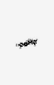 CCN1CCN(c2ccc3c(c2)OC(O)C(c2cn4cc(C)nc(C)c4n2)=C3)C[C@@H]1C